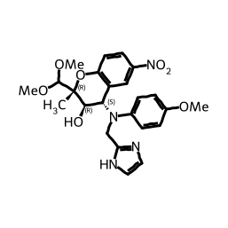 COc1ccc(N(Cc2ncc[nH]2)[C@H]2c3cc([N+](=O)[O-])ccc3O[C@@](C)(C(OC)OC)[C@@H]2O)cc1